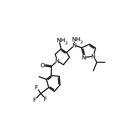 Cc1c(C(=O)N2CCC(N(N)c3ccn(C(C)C)n3)=C(N)C2)cccc1C(F)(F)F